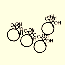 Cl.O=C(O)C1(C(=O)O)C=CCCCCCCCCC1.O=C(O)C1(C(=O)O)C=CCCCCCCCCC1.O=C(O)C1(C(=O)O)C=CCCCCCCCCC1.O=C(O)C1(C(=O)O)C=CCCCCCCCCC1